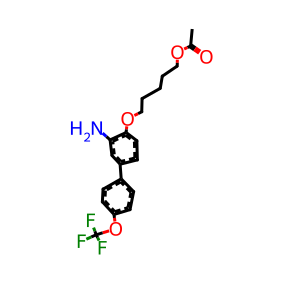 CC(=O)OCCCCCOc1ccc(-c2ccc(OC(F)(F)F)cc2)cc1N